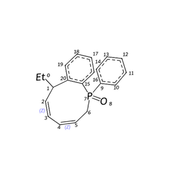 CCC1/C=C\C=C/CP(=O)(c2ccccc2)c2ccccc21